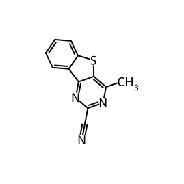 Cc1nc(C#N)nc2c1sc1ccccc12